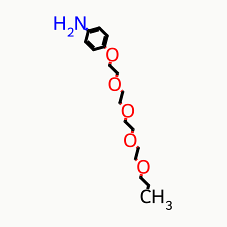 CCCOCCOCCOCCOCCOc1ccc(N)cc1